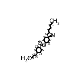 CCCCCCC[C@]1(C#N)CC[C@H](OC(=O)[C@H]2CC[C@H](CCCC)CC2)CC1